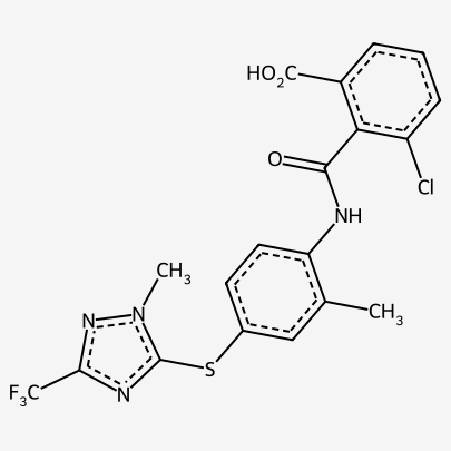 Cc1cc(Sc2nc(C(F)(F)F)nn2C)ccc1NC(=O)c1c(Cl)cccc1C(=O)O